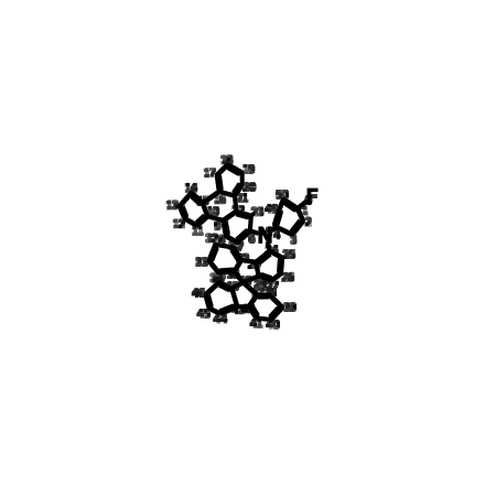 Fc1ccc(N(c2ccc3c4ccccc4c4ccccc4c3c2)c2cccc3c2-c2ccccc2C32c3ccccc3-c3ccccc32)cc1